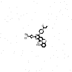 C=CC(=O)N1CCN(c2nc(N3CC(N(CC)CC)C3)nc3c(=O)n(-c4c(O)cccc4F)c(C)cc23)CC1